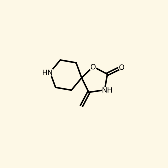 C=C1NC(=O)OC12CCNCC2